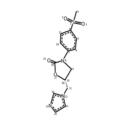 CS(=O)(=O)c1ccc(N2C[C@H](Cn3ccnc3)OC2=O)cc1